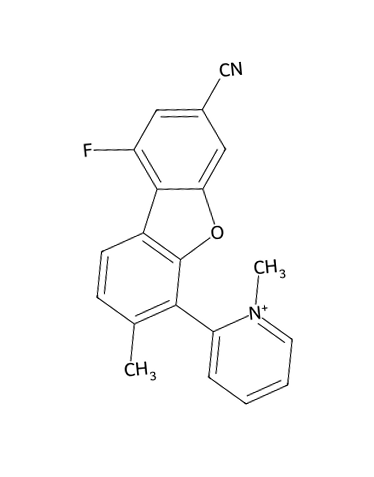 Cc1ccc2c(oc3cc(C#N)cc(F)c32)c1-c1cccc[n+]1C